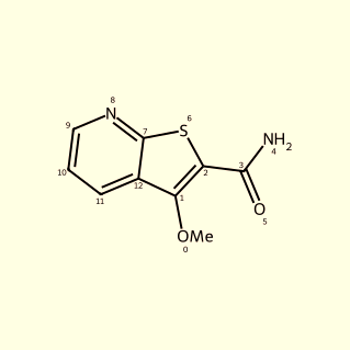 COc1c(C(N)=O)sc2ncccc12